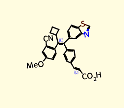 COc1ccc(/C(=C(\c2ccc(/C=C/C(=O)O)cc2)c2ccc3scnc3c2)C2CCC2)c(C#N)c1